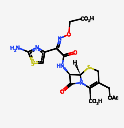 CC(=O)OCC1=C(C(=O)O)N2C(=O)[C@@H](NC(=O)/C(=N\OCC(=O)O)c3csc(N)n3)[C@H]2SC1